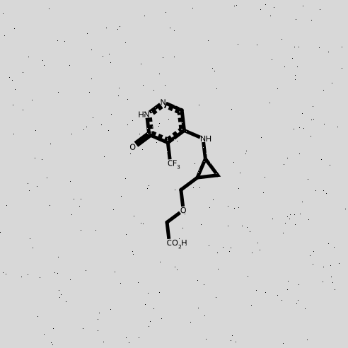 O=C(O)COCC1CC1Nc1cn[nH]c(=O)c1C(F)(F)F